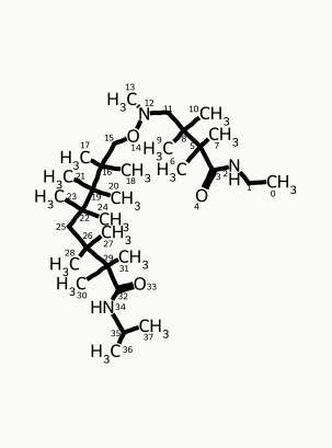 CCNC(=O)C(C)(C)C(C)(C)CN(C)OCC(C)(C)C(C)(C)C(C)(C)CC(C)(C)C(C)(C)C(=O)NC(C)C